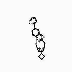 c1coc(-c2ccc3c(c2)nc2n3CC3CCC(C2)N3C2CCC2)c1